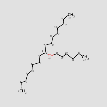 CCCCCCC[CH2][Al]([CH2]CCCCCCC)[O]CCCCCC